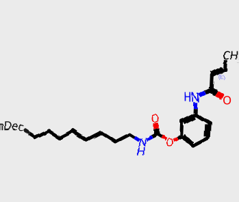 C/C=C/C(=O)Nc1cccc(OC(=O)NCCCCCCCCCCCCCCCCCC)c1